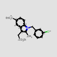 CCOC(=O)Cc1c(C)n(Cc2cccc(Cl)c2)c2ccc(C(=O)OCC)cc12